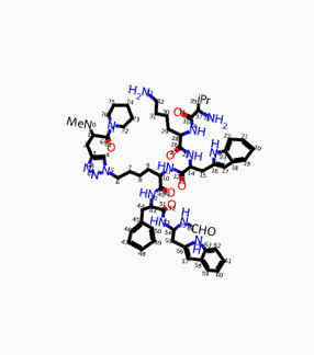 CNC(Cc1cn(CCCCC(NC(=O)C(Cc2cc3ccccc3[nH]2)NC(=O)C(CCCCN)NC(=O)C(N)C(C)C)C(=O)NC(Cc2ccccc2)C(=O)NC(Cc2cc3ccccc3[nH]2)NC=O)nn1)C(=O)N1CCCCC1